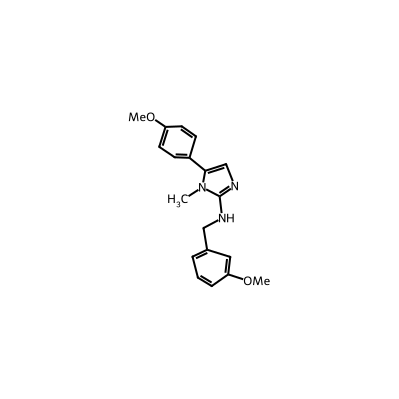 COc1ccc(-c2cnc(NCc3cccc(OC)c3)n2C)cc1